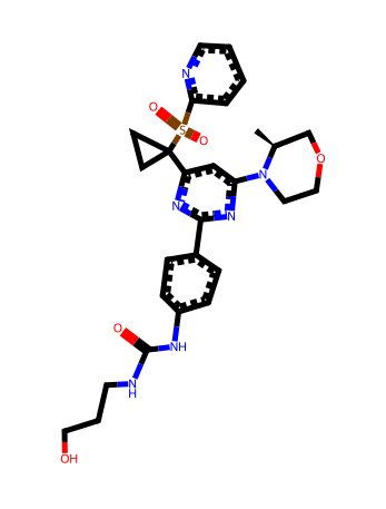 C[C@H]1COCCN1c1cc(C2(S(=O)(=O)c3ccccn3)CC2)nc(-c2ccc(NC(=O)NCCCO)cc2)n1